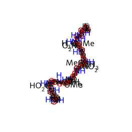 COc1cc(C(C)NC(=O)CNC(=O)CNC(=O)CNC(=O)OCC2c3ccccc3-c3ccccc32)c([N+](=O)[O-])cc1OCCCC(=O)NCCOCCOCC(=O)NC(C)c1cc(OC)c(OCCCC(=O)NCCOCCOCC(=O)NC(C)c2cc(OC)c(OCCCC(=O)NCCOCCOCC(=O)N[C@@H](CCCCNC(=O)CCCC[C@@H]3SC[C@@H]4NC(=O)N[C@@H]43)C(=O)O)cc2[N+](=O)[O-])cc1[N+](=O)[O-]